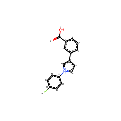 O=C(O)c1cccc(-c2ccn(-c3ccc(F)cc3)c2)c1